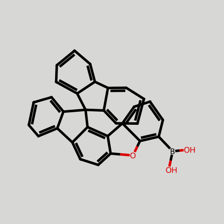 OB(O)c1cccc2c1oc1ccc3c(c12)C1(c2ccccc2-c2ccccc21)c1ccccc1-3